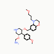 COCCCN1CCOc2ccc(CO[C@H]3CNC[C@@H](OCN)C3c3ccc(OC)cc3)cc21